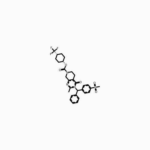 Cc1nc2c(c(=O)n1C(c1ccccc1)c1ccc(S(C)(=O)=O)cc1)CCN(C(=O)O[C@H]1CC[C@@H](C(F)(F)F)CC1)C2